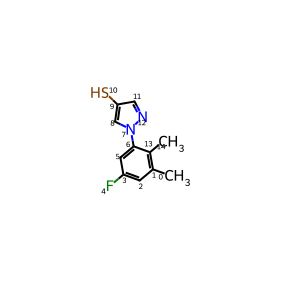 Cc1cc(F)cc(-n2cc(S)cn2)c1C